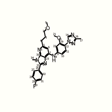 COCCCc1cc(Nc2ccc(-n3cnc(C)n3)c(OC)c2)c2nc(-c3ccc(F)cc3)n(C)c2n1